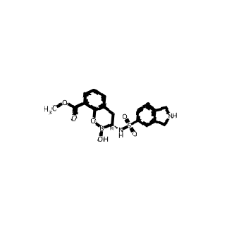 COC(=O)c1cccc2c1OB(O)[C@@H](NS(=O)(=O)c1ccc3c(c1)CNC3)C2